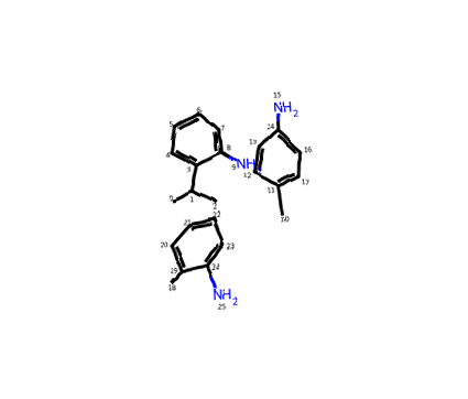 CC(C)c1ccccc1N.Cc1ccc(N)cc1.Cc1ccccc1N